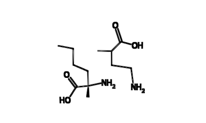 CC(CCN)C(=O)O.CCCC[C@](C)(N)C(=O)O